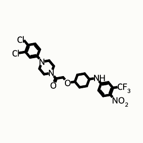 O=C(COC1CCC(Nc2ccc([N+](=O)[O-])c(C(F)(F)F)c2)CC1)N1CCN(c2ccc(Cl)c(Cl)c2)CC1